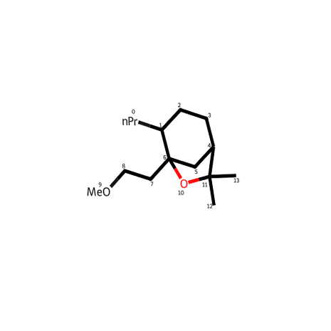 CCCC1CCC2CC1(CCOC)OC2(C)C